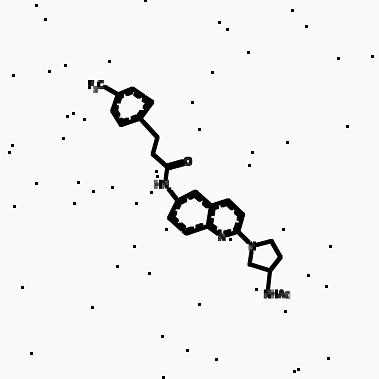 CC(=O)NC1CCN(c2ccc3cc(NC(=O)CCc4ccc(C(F)(F)F)cc4)ccc3n2)C1